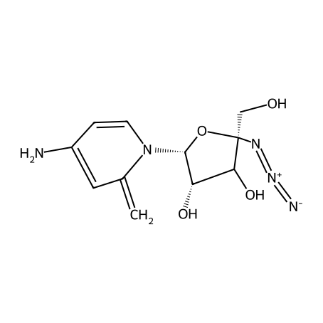 C=C1C=C(N)C=CN1[C@@H]1O[C@@](CO)(N=[N+]=[N-])C(O)[C@@H]1O